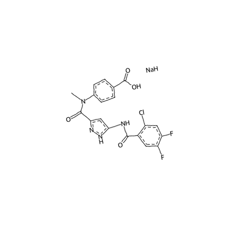 CN(C(=O)c1cc(NC(=O)c2cc(F)c(F)cc2Cl)[nH]n1)c1ccc(C(=O)O)cc1.[NaH]